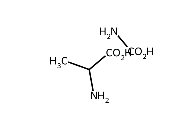 CC(N)C(=O)O.NC(=O)O